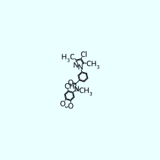 Cc1cc2c(cc1N(C)C(=O)c1cccc(-n3nc(C)c(Cl)c3C)c1)OCO2